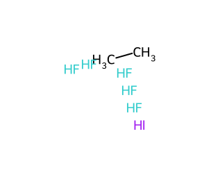 CC.F.F.F.F.F.I